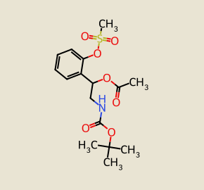 CC(=O)OC(CNC(=O)OC(C)(C)C)c1ccccc1OS(C)(=O)=O